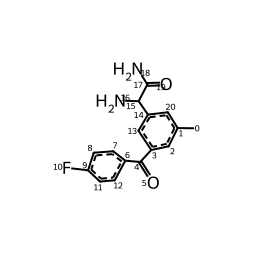 Cc1cc(C(=O)c2ccc(F)cc2)cc(C(N)C(N)=O)c1